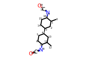 CC1CC([C@@H]2CCC(N=C=O)C(C)C2)CCC1N=C=O